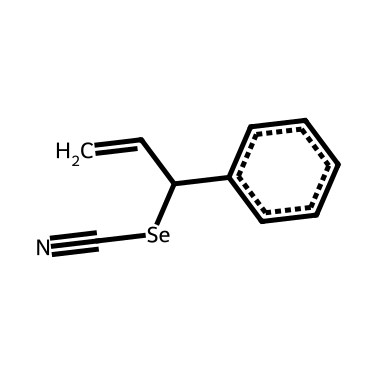 C=CC([Se]C#N)c1ccccc1